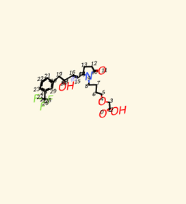 O=C(O)COCCCCN1C(=O)CC[C@@H]1/C=C/[C@@H](O)Cc1cccc(C(F)(F)F)c1